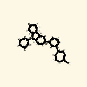 CC1=CC=C(c2cccc(-c3ccc4c(c3)c3ccccc3n4-c3ccccc3)c2)C=CC1